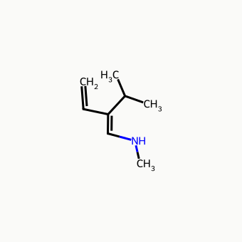 C=C/C(=C/NC)C(C)C